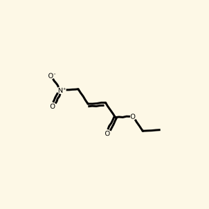 CCOC(=O)C=CC[N+](=O)[O-]